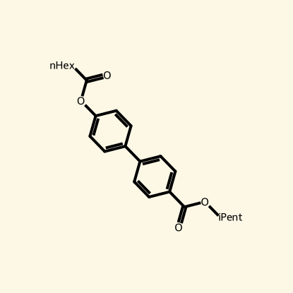 CCCCCCC(=O)Oc1ccc(-c2ccc(C(=O)OC(C)CCC)cc2)cc1